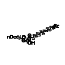 CCCCCCCCCCCCC(=O)O[C@@H](CO)COC(=O)CCCCCCCCCCCCSC(C)=O